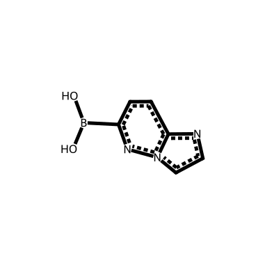 OB(O)c1ccc2nccn2n1